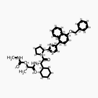 CNC(=O)O[C@@H](C)C(=O)N[C@H](C(=O)N1CCC[C@H]1c1nc(-c2ccc(OCc3ccccc3)c3ccccc23)cs1)C1CCCCC1